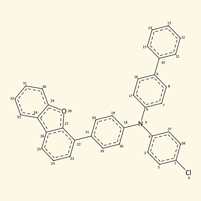 Clc1ccc(N(c2ccc(-c3ccccc3)cc2)c2ccc(-c3cccc4c3oc3ccccc34)cc2)cc1